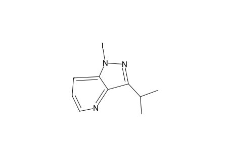 CC(C)c1nn(I)c2cccnc12